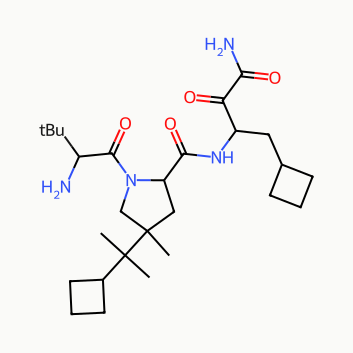 CC(C)(C)C(N)C(=O)N1CC(C)(C(C)(C)C2CCC2)CC1C(=O)NC(CC1CCC1)C(=O)C(N)=O